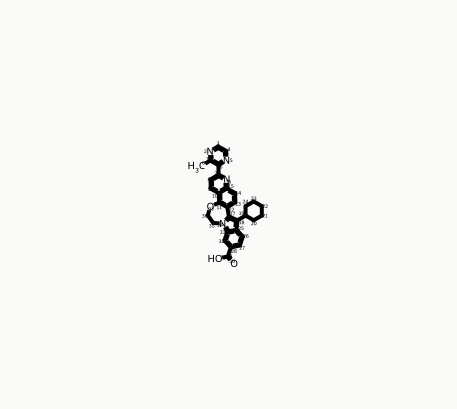 Cc1nccnc1-c1ccc2c3c(ccc2n1)-c1c(C2CCCCC2)c2ccc(C(=O)O)cc2n1CCO3